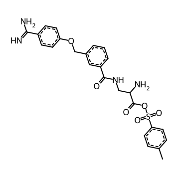 Cc1ccc(S(=O)(=O)OC(=O)C(N)CNC(=O)c2cccc(COc3ccc(C(=N)N)cc3)c2)cc1